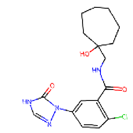 O=C(NCC1(O)CCCCCC1)c1cc(-n2nc[nH]c2=O)ccc1Cl